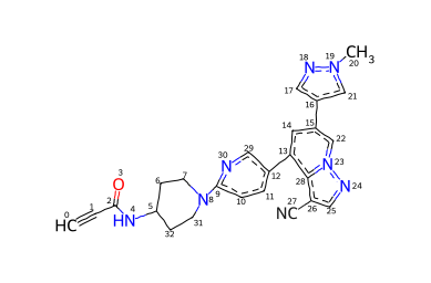 C#CC(=O)NC1CCN(c2ccc(-c3cc(-c4cnn(C)c4)cn4ncc(C#N)c34)cn2)CC1